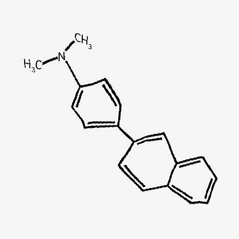 CN(C)c1ccc(-c2ccc3ccccc3c2)cc1